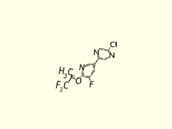 C[C@@H](Oc1ncc(-c2cnc(Cl)cn2)cc1F)C(F)(F)F